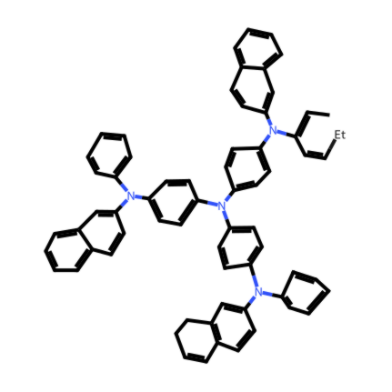 C/C=C(\C=C/CC)N(c1ccc(N(c2ccc(N(c3ccccc3)c3ccc4c(c3)CCC=C4)cc2)c2ccc(N(c3ccccc3)c3ccc4ccccc4c3)cc2)cc1)c1ccc2ccccc2c1